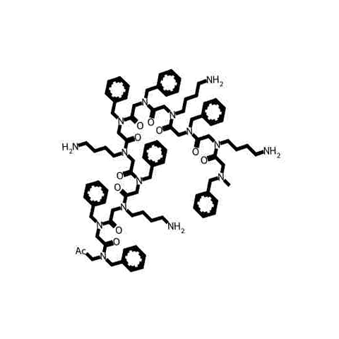 CC(=O)CN(Cc1ccccc1)C(=O)CN(Cc1ccccc1)C(=O)CN(CCCCN)C(=O)CN(Cc1ccccc1)C(=O)CN(CCCCN)C(=O)CN(Cc1ccccc1)C(=O)CN(Cc1ccccc1)C(=O)CN(CCCCN)C(=O)CN(Cc1ccccc1)C(=O)CN(CCCCN)C(=O)CN(C)Cc1ccccc1